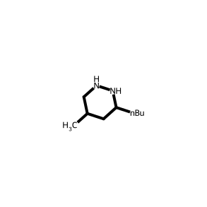 CCCCC1CC(C)CNN1